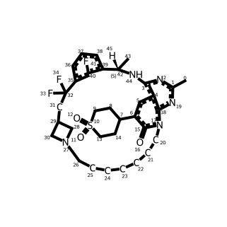 Cc1nc2c3cc(C4CCS(=O)(=O)CC4)c(=O)n(c3n1)CCCCCCCN1CC(C1)CC(F)(F)c1cccc(c1F)[C@H](C)N2